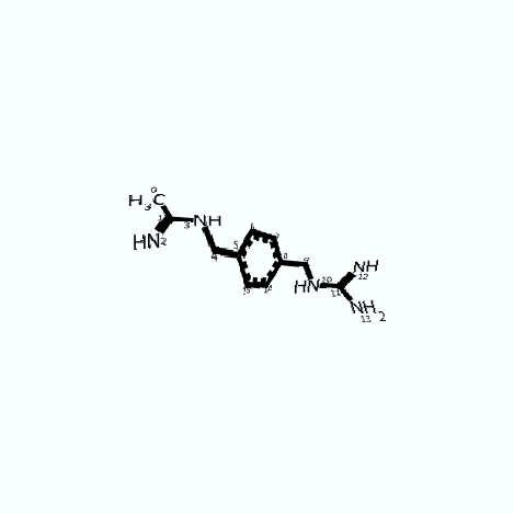 CC(=N)NCc1ccc(CNC(=N)N)cc1